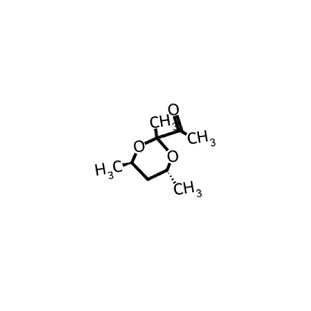 CC(=O)C1(C)O[C@H](C)C[C@@H](C)O1